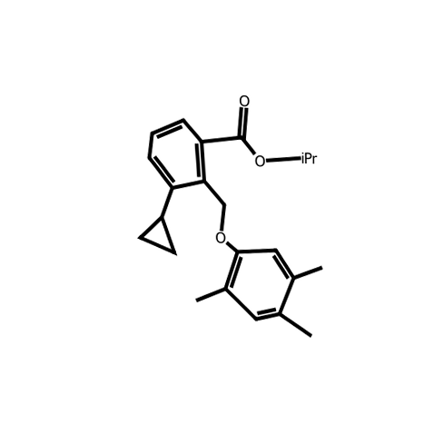 Cc1cc(C)c(OCc2c(C(=O)OC(C)C)cccc2C2CC2)cc1C